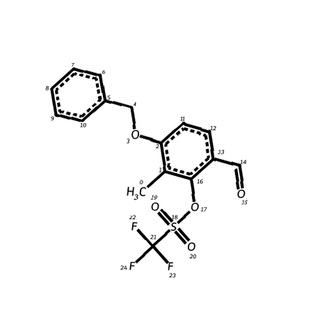 Cc1c(OCc2ccccc2)ccc(C=O)c1OS(=O)(=O)C(F)(F)F